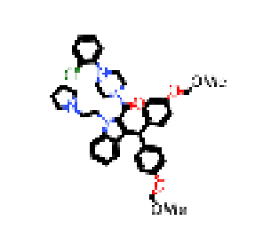 COCOc1ccc(C(c2ccc(OCOC)cc2)c2c(C(=O)N3CCN(c4ccccc4Cl)CC3)n(CCN3CCCC3)c3ccccc23)cc1